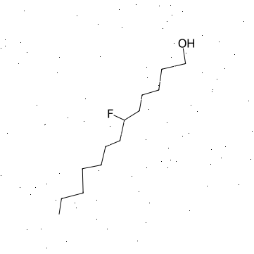 CCCCCCCC(F)CCCCCO